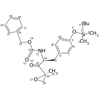 CC(C)(C)[Si](C)(C)Oc1ccc(C[C@H](NC(=O)OCc2ccccc2)C(=O)[C@@]2(C)CO2)cc1